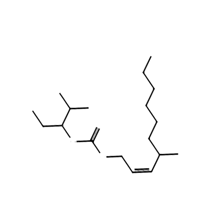 CCCCCCC(C)/C=C\COC(=O)OC(CC)C(C)C